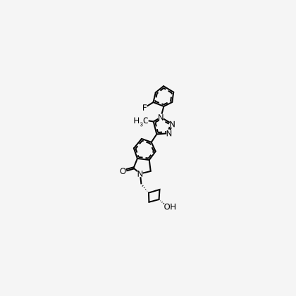 Cc1c(-c2ccc3c(c2)CN(C[C@H]2C[C@@H](O)C2)C3=O)nnn1-c1ccccc1F